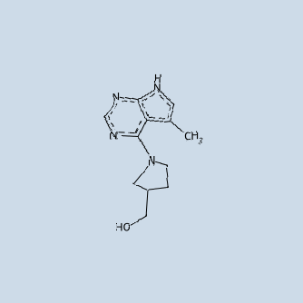 Cc1c[nH]c2ncnc(N3CCC(CO)C3)c12